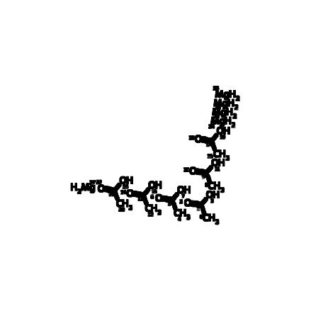 CC(=O)O.CC(=O)O.CC(=O)O.CC(=O)O.CC(=O)O.CC(=O)O.[MgH2].[MgH2].[MgH2].[MgH2].[MgH2]